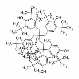 Cc1cc(O)c(C(C)(C)C)cc1C(CCC(Cc1cc(C(C)(C)C)c(O)c(C(C)(C)C)c1)(Cc1cc(C(C)(C)C)c(O)c(C(C)(C)C)c1)Cc1cc(C(C)(C)C)c(O)c(C(C)(C)C)c1)(c1cc(C(C)(C)C)c(O)cc1C)n1c(=O)[nH]c(=O)[nH]c1=O